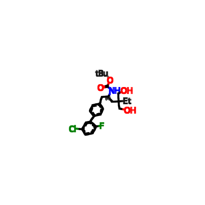 CCC(CO)(CO)C[C@@H](Cc1ccc(-c2cc(Cl)ccc2F)cc1)NC(=O)OC(C)(C)C